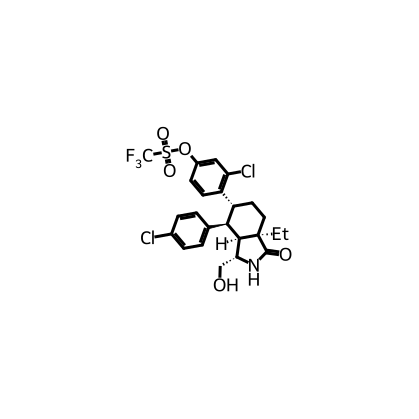 CC[C@@]12CC[C@@H](c3ccc(OS(=O)(=O)C(F)(F)F)cc3Cl)[C@H](c3ccc(Cl)cc3)[C@@H]1[C@@H](CO)NC2=O